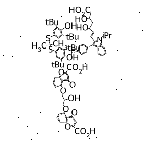 CC(C)(Sc1cc(C(C)(C)C)c(O)c(C(C)(C)C)c1)Sc1cc(C(C)(C)C)c(O)c(C(C)(C)C)c1.CC(C)n1c(/C=C/[C@@H](O)C[C@@H](O)CC(=O)O)c(-c2ccc(F)cc2)c2ccccc21.O=C(O)c1cc(=O)c2c(OCC(O)COc3cccc4oc(C(=O)O)cc(=O)c34)cccc2o1